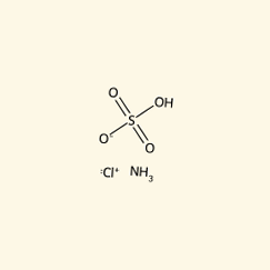 N.O=S(=O)([O-])O.[Cl+]